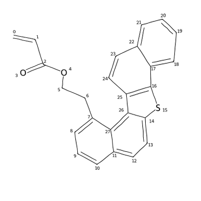 C=CC(=O)OCCc1cccc2ccc3sc4c5ccccc5ccc4c3c12